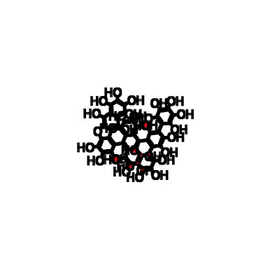 Oc1c(O)c(O)c(-c2c(O)c(O)c(-c3c(O)c(O)c(O)c(O)c3O)c(-c3c4c(O)c(O)c(O)c(O)c4c(-c4c(O)c(O)c(O)c5oc6c(O)c7c(O)c(O)c(O)c(O)c7c(O)c6c45)c4c(O)c(O)c(O)c(O)c34)c2O)c(O)c1O